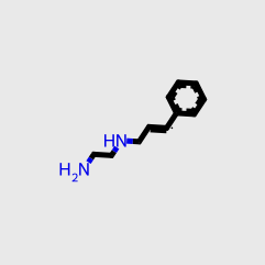 NCCNCC=[C]c1ccccc1